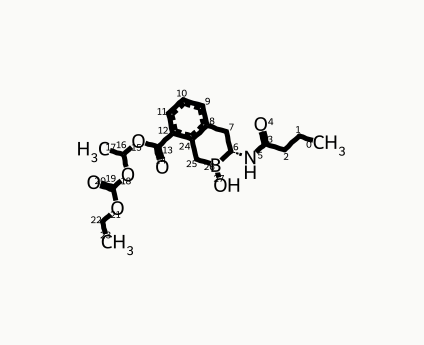 CCCC(=O)N[C@H]1Cc2cccc(C(=O)OC(C)OC(=O)OCC)c2CB1O